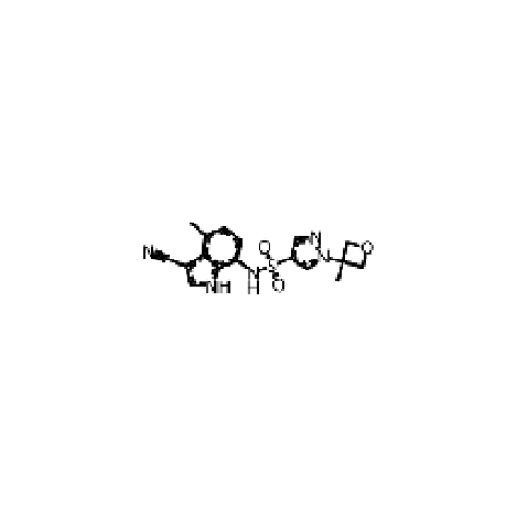 Cc1ccc(NS(=O)(=O)c2cnn(C3(C)COC3)c2)c2[nH]cc(C#N)c12